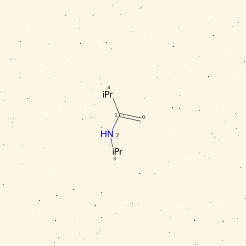 C=C(NC(C)C)C(C)C